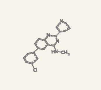 CNc1nc(-c2cccnc2)nc2ccc(-c3cccc(Cl)c3)cc12